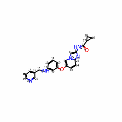 O=C(Nc1cn2cc(Oc3cccc(NCc4cccnc4)c3)ccc2n1)C1CC1